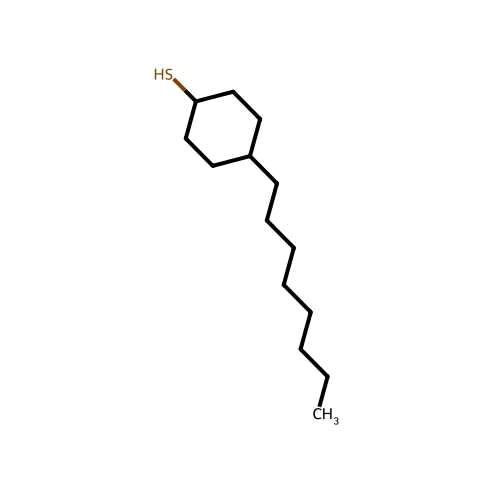 CCCCCCCCC1CCC(S)CC1